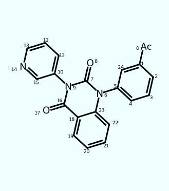 CC(=O)c1cccc(-n2c(=O)n(-c3cccnc3)c(=O)c3ccccc32)c1